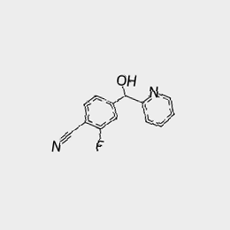 N#Cc1ccc(C(O)c2ccccn2)cc1F